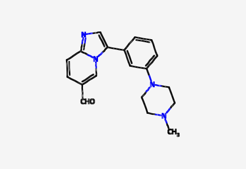 CN1CCN(c2cccc(-c3cnc4ccc(C=O)cn34)c2)CC1